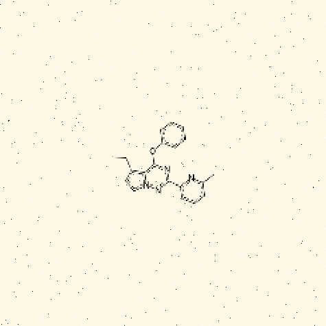 CCc1ccn2nc(-c3cccc(C)n3)nc(Oc3ccccc3)c12